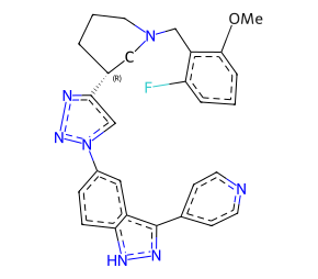 COc1cccc(F)c1CN1CCC[C@@H](c2cn(-c3ccc4[nH]nc(-c5ccncc5)c4c3)nn2)C1